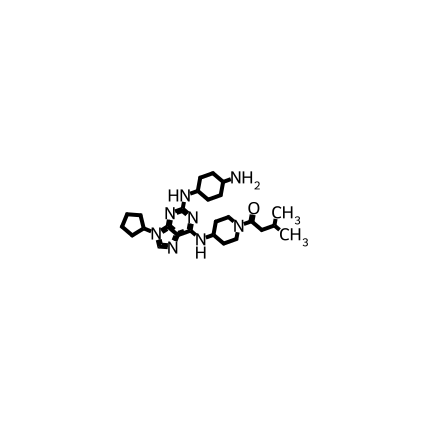 CC(C)CC(=O)N1CCC(Nc2nc(NC3CCC(N)CC3)nc3c2ncn3C2CCCC2)CC1